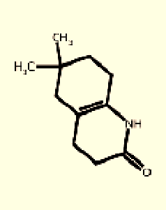 CC1(C)CCC2=C(CCC(=O)N2)C1